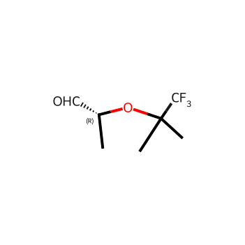 C[C@H](C=O)OC(C)(C)C(F)(F)F